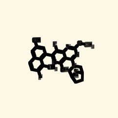 COc1nc(N2CC3CCC(C2)N3)c2c(O)nc(-c3cc(O)cc4ccc(F)c(C)c34)c(F)c2n1